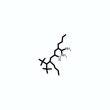 CCCCC(CC(O)CC(CCCC)C(C(C)(C)C)C(C)(C)C)C(N)N